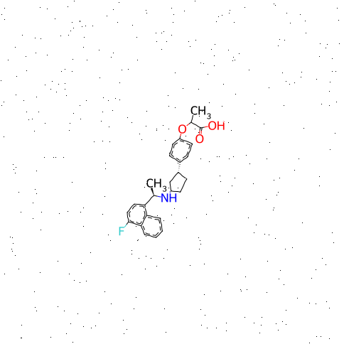 CC(Oc1ccc([C@@H]2CC[C@H](N[C@H](C)c3ccc(F)c4ccccc34)C2)cc1)C(=O)O